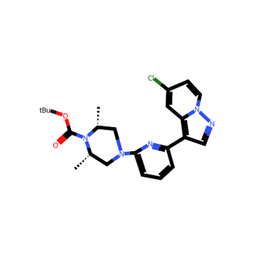 C[C@@H]1CN(c2cccc(-c3cnn4ccc(Cl)cc34)n2)C[C@H](C)N1C(=O)OC(C)(C)C